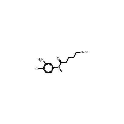 CCCCCCCCCCCCCC(=O)N(C)c1ccc(Cl)c(N)c1